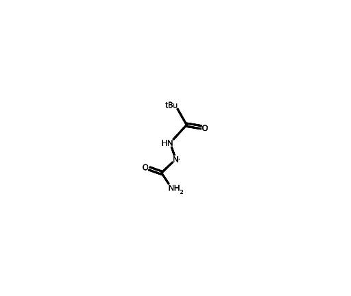 CC(C)(C)C(=O)N[N]C(N)=O